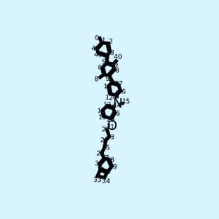 Cc1ccc(-c2cc(C)c(-c3ccc(N(C)c4cccc(OCCCCCc5ccc6c(c5)CC6)c4)cc3)cc2C)cc1